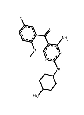 COc1ccc(F)cc1C(=O)c1cnc(NC2CCC(O)CC2)nc1N